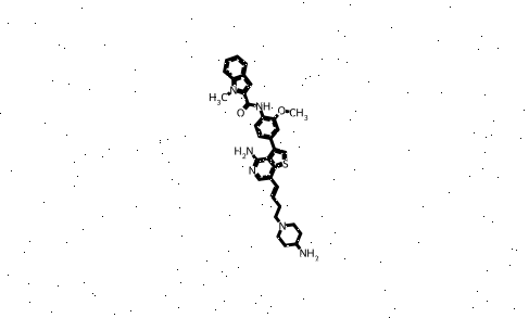 COc1cc(-c2csc3c(/C=C/CCN4CCC(N)CC4)cnc(N)c23)ccc1NC(=O)c1cc2ccccc2n1C